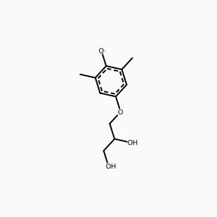 Cc1cc(OCC(O)CO)cc(C)c1[O]